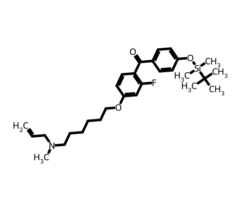 C=CCN(C)CCCCCCOc1ccc(C(=O)c2ccc(O[Si](C)(C)C(C)(C)C)cc2)c(F)c1